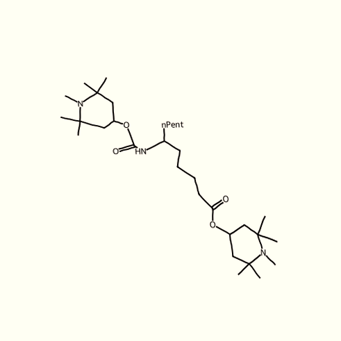 CCCCCC(CCCCC(=O)OC1CC(C)(C)N(C)C(C)(C)C1)NC(=O)OC1CC(C)(C)N(C)C(C)(C)C1